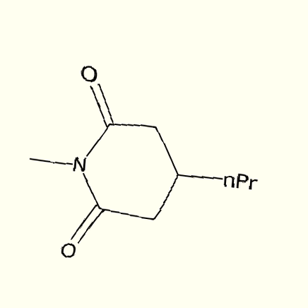 CCCC1CC(=O)N(C)C(=O)C1